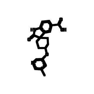 Cc1cncc(OC2CCC3(CC2)C(=O)Nc2ccc(C(=O)O)cc23)c1